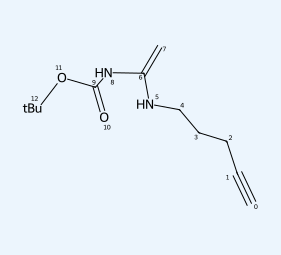 C#CCCCNC(=C)NC(=O)OC(C)(C)C